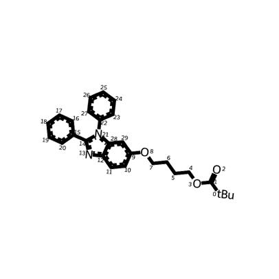 CC(C)(C)C(=O)OCCCCOc1ccc2nc(-c3ccccc3)n(-c3ccccc3)c2c1